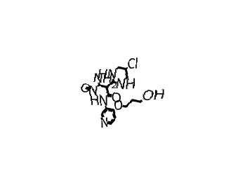 NC(N=O)C(C(=O)Nc1cnccc1OCCCO)C1NCC(Cl)CN1